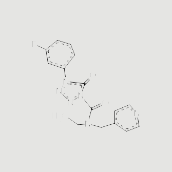 CCN(Cc1ccncc1)C(=O)n1nnn(-c2cccc(F)c2)c1=O